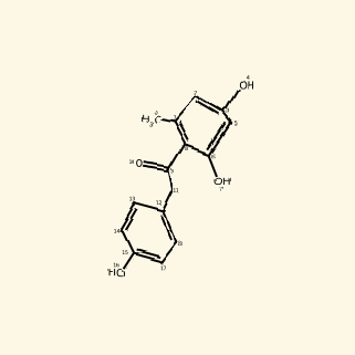 Cc1cc(O)cc(O)c1C(=O)Cc1ccc(O)cc1